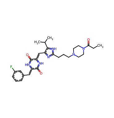 CCC(=O)N1CCN(CCCc2nc(/C=c3\[nH]c(=O)/c(=C/c4cccc(F)c4)[nH]c3=O)c(C(C)C)[nH]2)CC1